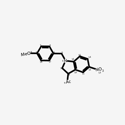 COc1ccc(CN2CC(C(C)=O)c3cc([N+](=O)[O-])ccc32)cc1